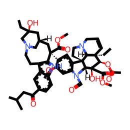 CC[C@]1(O)C[C@H]2CN(CCc3c([nH]c4ccc(C(=O)CC(C)C)cc34)[C@@](C(=O)OC)(c3cc4c(cc3OC)N(C=O)[C@H]3[C@@](O)(C(=O)OC)[C@H](OC(C)=O)[C@]5(CC)C=CCN6CC[C@]43[C@@H]65)C2)C1